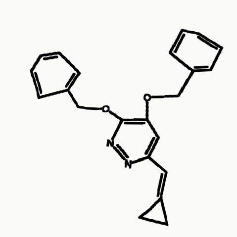 C(=C1CC1)c1cc(OCc2ccccc2)c(OCc2ccccc2)nn1